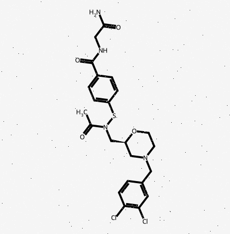 CC(=O)N(C[C@@H]1CN(Cc2ccc(Cl)c(Cl)c2)CCO1)Sc1ccc(C(=O)NCC(N)=O)cc1